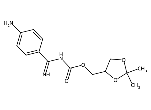 CC1(C)OCC(COC(=O)NC(=N)c2ccc(N)cc2)O1